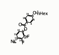 CCCCCCOc1ccc(C(=O)Oc2ccc(C#N)c(F)c2F)cc1